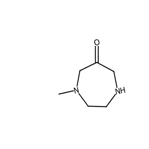 CN1CCNCC(=O)C1